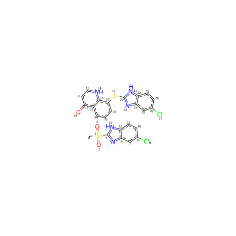 CS(=O)(=O)c1nc2cc(Cl)ccc2[nH]1.O=c1cc[nH]c2c(Sc3nc4cc(Cl)ccc4[nH]3)cccc12